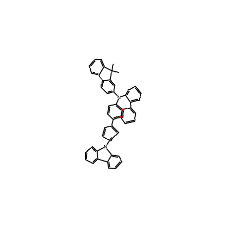 CC1(C)c2ccccc2-c2ccc(N(c3ccc(-c4ccc(-n5c6ccccc6c6ccccc65)cc4)cc3)c3ccccc3-c3ccccc3)cc21